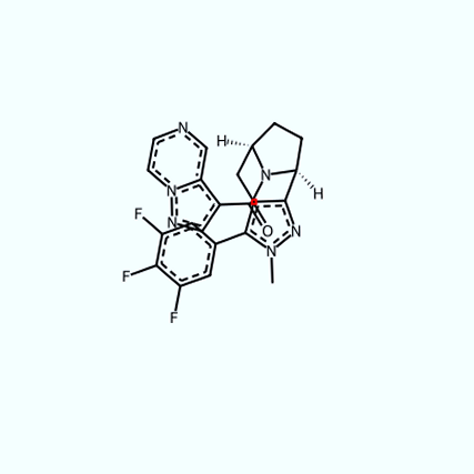 Cn1nc2c(c1-c1cc(F)c(F)c(F)c1)C[C@H]1CC[C@@H]2N1C(=O)c1cnn2ccncc12